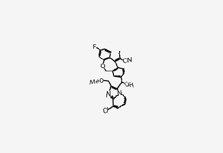 COCc1nc2c(Cl)cccn2c1C(O)c1ccc2c(c1)COc1cc(F)ccc1C2=C(C)C#N